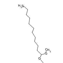 COC(CCCCCCCCCC[SiH3])OC